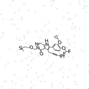 CC(C)C#CCc1c(-c2ccc(OC(F)F)c(OC3CC3)c2)[nH]c2cnn(COCC[Si](C)(C)C)c(=O)c12